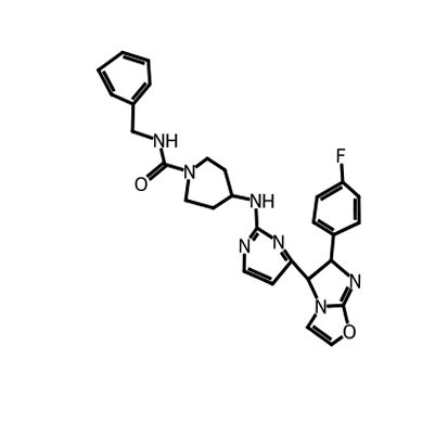 O=C(NCc1ccccc1)N1CCC(Nc2nccc(C3C(c4ccc(F)cc4)N=C4OC=CN43)n2)CC1